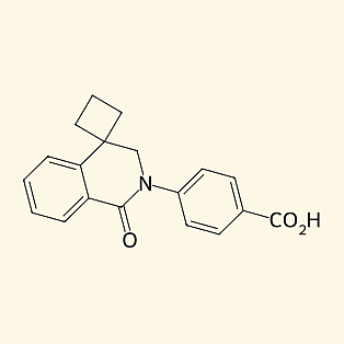 O=C(O)c1ccc(N2CC3(CCC3)c3ccccc3C2=O)cc1